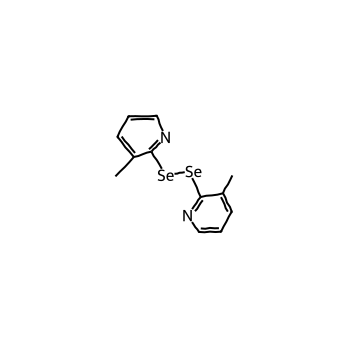 Cc1cccnc1[Se][Se]c1ncccc1C